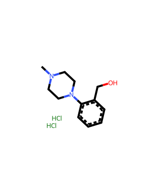 CN1CCN(c2ccccc2CO)CC1.Cl.Cl